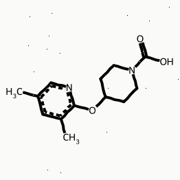 Cc1cnc(OC2CCN(C(=O)O)CC2)c(C)c1